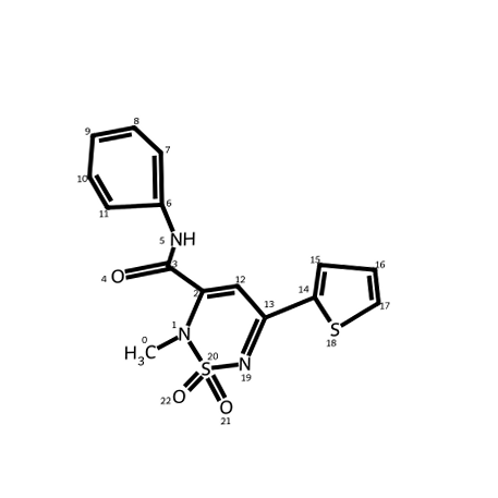 CN1C(C(=O)Nc2ccccc2)=CC(c2cccs2)=NS1(=O)=O